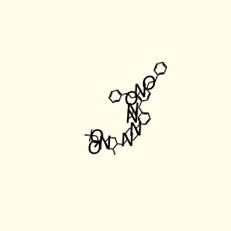 CC1CN(C(=O)OC(C)(C)C)CCC1CN1CCN(c2cccc3c(-c4ccc(OCc5ccccc5)nc4OCc4ccccc4)nn(C)c23)CC1